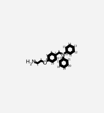 NCCOc1ccc(CN(c2ccccc2)c2ccccc2)cc1